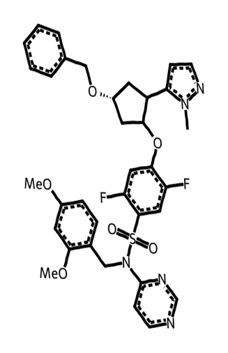 COc1ccc(CN(c2ccncn2)S(=O)(=O)c2cc(F)c(OC3C[C@H](OCc4ccccc4)CC3c3ccnn3C)cc2F)c(OC)c1